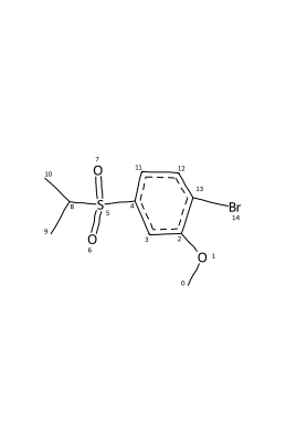 COc1cc(S(=O)(=O)C(C)C)ccc1Br